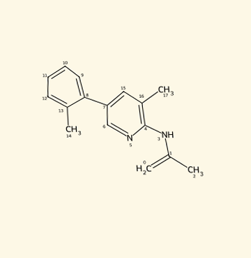 C=C(C)Nc1ncc(-c2ccccc2C)cc1C